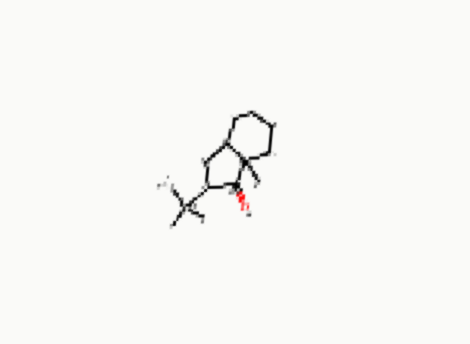 CC12CCCCC1CC([Si](C)(C)C(C)(C)C)C2=O